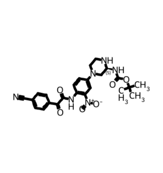 CC(C)(C)OC(=O)N[C@H]1CN(c2ccc(NC(=O)C(=O)c3ccc(C#N)cc3)c([N+](=O)[O-])c2)CCN1